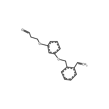 C=Cc1ccccc1COc1cccc(OCCC=O)c1